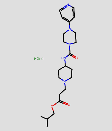 CC(C)COC(=O)CCN1CCC(NC(=O)N2CCN(c3ccncc3)CC2)CC1.Cl.Cl